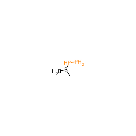 BB(C)PP